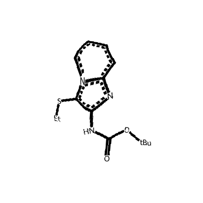 CCSc1c(NC(=O)OC(C)(C)C)nc2ccccn12